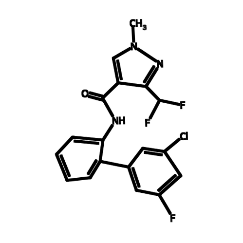 Cn1cc(C(=O)Nc2ccccc2-c2cc(F)cc(Cl)c2)c(C(F)F)n1